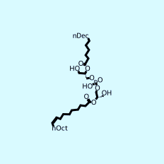 CCCCCCCC/C=C\CCCCCCCC(=O)O[C@@H](CO)COP(=O)(O)OC[C@H](CO)OC(=O)CCCCCCCCCCCCCCC